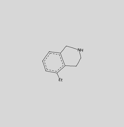 CCc1cccc2c1CCNC2